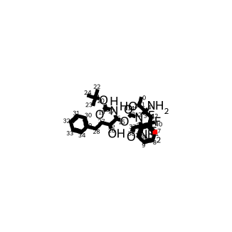 CC(O)C(N)(Cc1ccccc1)N(C(=O)OC(NC(=O)OC(C)(C)C)C(O)CCc1ccccc1)C(N)(C=O)C(F)(F)F